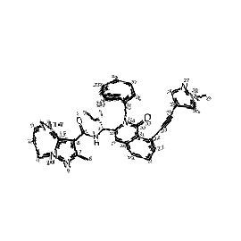 CC[C@@H](NC(=O)c1c(C)nn2cccnc12)c1cc2cccc(C#Cc3cnn(C)c3)c2c(=O)n1-c1ccccc1